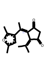 CC(C)=C1C(=O)CC(=O)/C1=C(\C)c1cc(C)oc1C